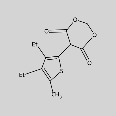 CCc1c(C)sc(C2C(=O)OCOC2=O)c1CC